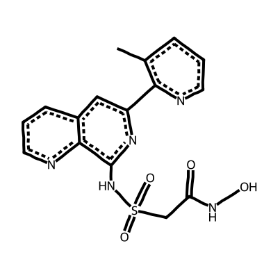 Cc1cccnc1-c1cc2cccnc2c(NS(=O)(=O)CC(=O)NO)n1